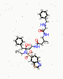 CC(C)CN(C(O)(CCNC(=O)CC(C)CNC(=O)CNCc1ccccc1)Cc1ccccc1)S(=O)(=O)c1ccc2ncsc2c1